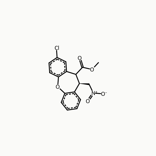 COC(=O)C1c2cc(Cl)ccc2Oc2ccccc2[C@@H]1C[N+](=O)[O-]